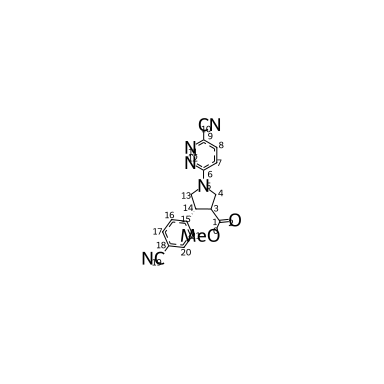 COC(=O)C1CN(c2ccc(C#N)nn2)C[C@H]1c1ccc(C#N)cc1